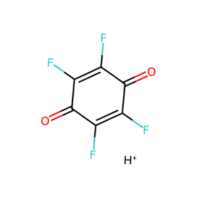 O=C1C(F)=C(F)C(=O)C(F)=C1F.[H+]